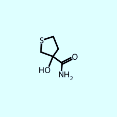 NC(=O)C1(O)CCSC1